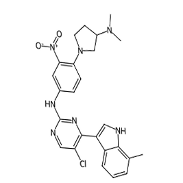 Cc1cccc2c(-c3nc(Nc4ccc(N5CCC(N(C)C)C5)c([N+](=O)[O-])c4)ncc3Cl)c[nH]c12